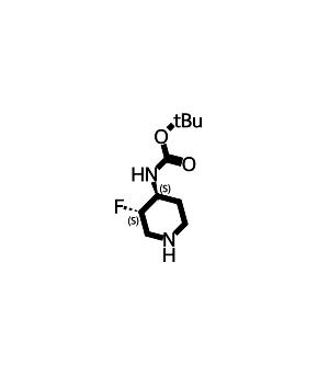 CC(C)(C)OC(=O)N[C@H]1CCNC[C@@H]1F